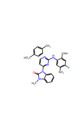 COc1cc(F)c([N+](=O)[O-])cc1Nc1nccc(-n2c(=O)n(C)c3ccccc32)n1.Cc1ccc(S(=O)(=O)O)cc1